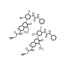 CCn1c(=O)c(-c2cc(NC(=O)Nc3ccccc3)c(F)cc2Br)cc2cnc(NC(=O)CC#N)cc21.CCn1c(=O)c(-c2cc(NC(=O)Nc3ccccc3)c(F)cc2Cl)cc2cnc(NC(=O)CC#N)cc21